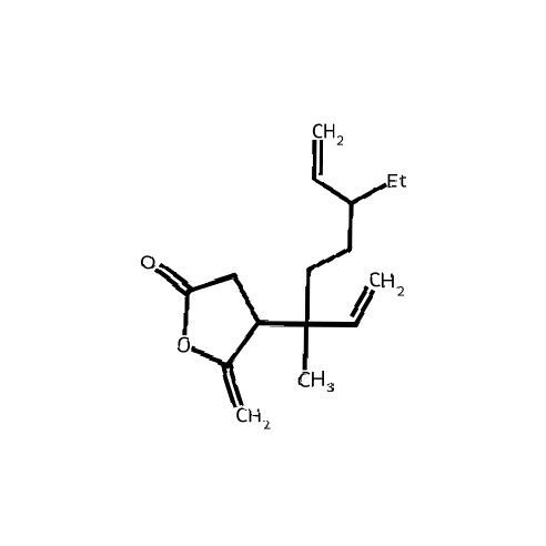 C=CC(CC)CCC(C)(C=C)C1CC(=O)OC1=C